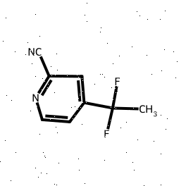 CC(F)(F)c1ccnc(C#N)c1